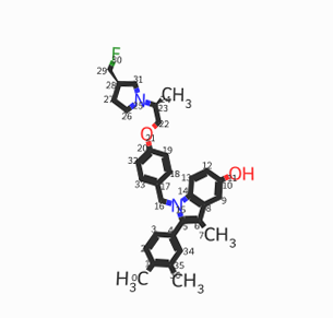 Cc1ccc(-c2c(C)c3cc(O)ccc3n2Cc2ccc(OC[C@H](C)N3CC[C@@H](CF)C3)cc2)cc1C